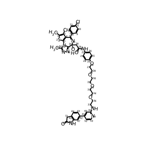 Cc1sc2c(c1C)C(c1ccc(Cl)cc1)=N[C@](O)(CC(=O)Nc1ccc(OCCOCCOCCOCCNc3cc(-c4ccc5c(c4)NC(=O)C5)ccn3)cc1)c1nnc(C)n1-2